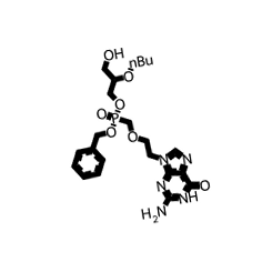 CCCCOC(CO)COP(=O)(COCCn1cnc2c(=O)[nH]c(N)nc21)OCc1ccccc1